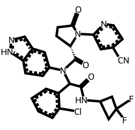 N#Cc1ccnc(N2C(=O)CC[C@H]2C(=O)N(c2ccc3[nH]ncc3c2)C(C(=O)NC2CC(F)(F)C2)c2ccccc2Cl)c1